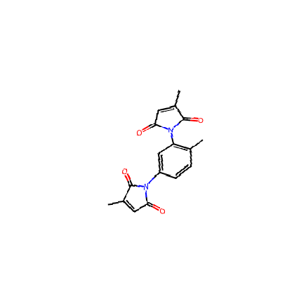 CC1=CC(=O)N(c2ccc(C)c(N3C(=O)C=C(C)C3=O)c2)C1=O